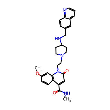 CNC(=O)c1cc(=O)n(CCN2CCC(NCc3ccc4ncccc4c3)CC2)c2cc(OC)ccc12